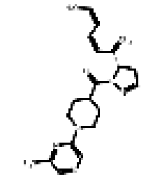 C=C(/C=C\C=C/C)[C@@H]1CC=NN1C(=O)C1CCN(c2cncc(N)n2)CC1